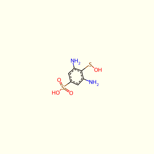 Nc1cc(S(=O)(=O)O)cc(N)c1SO